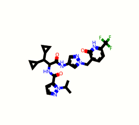 CC(C)n1nccc1C(=O)NC(C(=O)Nc1cnn(Cc2ccc(C(F)(F)F)[nH]c2=O)c1)C(C1CC1)C1CC1